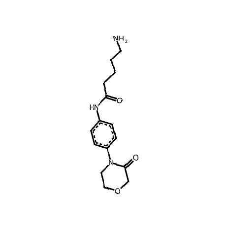 NCCCCC(=O)Nc1ccc(N2CCOCC2=O)cc1